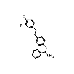 CC(Cc1ccc(C=Cc2ccc(F)c(F)c2)cc1)c1ccccc1